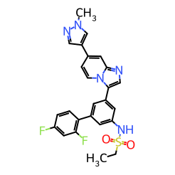 CCS(=O)(=O)Nc1cc(-c2ccc(F)cc2F)cc(-c2cnc3cc(-c4cnn(C)c4)ccn23)c1